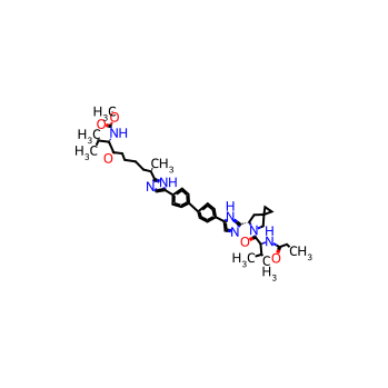 CCC(=O)N[C@H](C(=O)N1CC2(CC2)C[C@H]1c1ncc(-c2ccc(-c3ccc(-c4cnc([C@@H](C)CCCCC(=O)[C@@H](NC(=O)OC)C(C)C)[nH]4)cc3)cc2)[nH]1)C(C)C